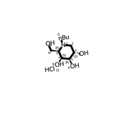 CCCCN1C[C@H](O)[C@@H](O)[C@@H](O)[C@H]1CO.Cl